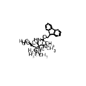 CC#CCC(C[N+](C)(C)C)(C[N+](C)(C)C)[C@H](NC(=O)OCC1c2ccccc2-c2ccccc21)C(=O)O